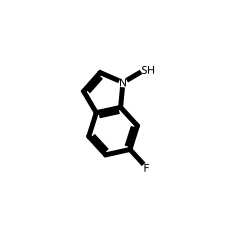 Fc1ccc2ccn(S)c2c1